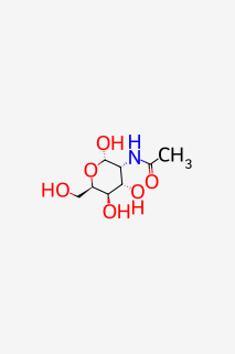 CC(=O)N[C@@H]1[C@H](O)[C@@H](O)[C@@H](CO)O[C@@H]1O